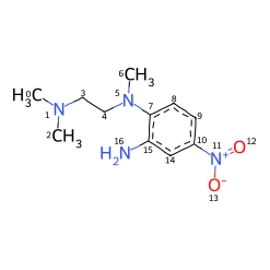 CN(C)CCN(C)c1ccc([N+](=O)[O-])cc1N